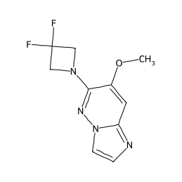 COc1cc2nccn2nc1N1CC(F)(F)C1